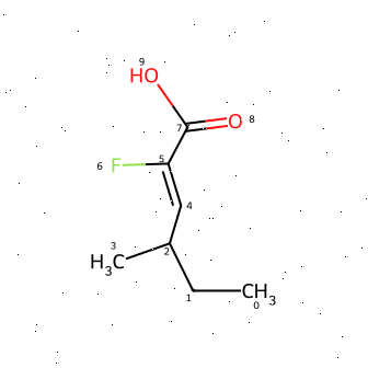 CCC(C)C=C(F)C(=O)O